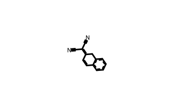 N#CC(C#N)=C1C=Cc2ccccc2C1